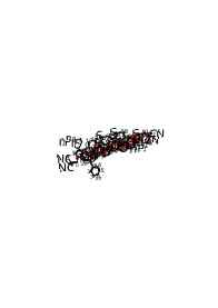 CCCOc1cc(C=C(C#N)C#N)sc1C1=Cc2sc3c(c2C1(C(=O)OCc1ccccc1)C(=O)OCc1ccccc1)C(C(=O)OCc1ccccc1)(C(=O)OCc1ccccc1)c1c-3sc2c1C(C(=O)OCc1ccccc1)(C(=O)OCc1ccccc1)C(c1sc(C=C(C#N)C#N)cc1OCCC)=C2